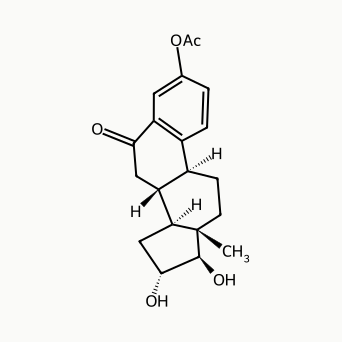 CC(=O)Oc1ccc2c(c1)C(=O)C[C@@H]1[C@@H]2CC[C@]2(C)[C@@H](O)[C@H](O)C[C@@H]12